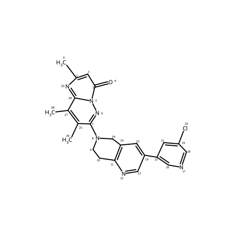 Cc1cc(=O)n2nc(N3CCc4ncc(-c5cncc(Cl)c5)cc4C3)c(C)c(C)c2n1